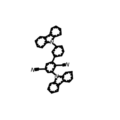 N#Cc1cc(-c2cccc(-n3c4ccccc4c4ccccc43)c2)c(C#N)c(-n2c3ccccc3c3ccccc32)c1